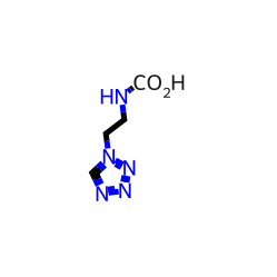 O=C(O)NCCn1cnnn1